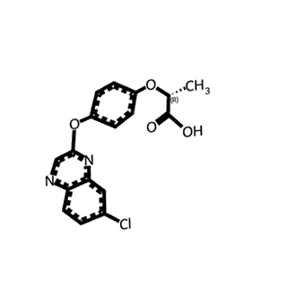 C[C@@H](Oc1ccc(Oc2cnc3ccc(Cl)cc3n2)cc1)C(=O)O